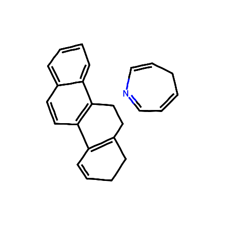 C1=CC2=C(CC1)CCc1c2ccc2ccccc12.C1=CCC=CN=C1